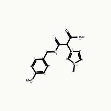 COC(=O)C(C(=O)OCc1ccc(OC)cc1)[n+]1ccn(C)c1